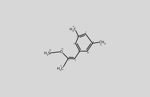 CC(=Cc1cc(C)cc(C)c1)O[SiH3]